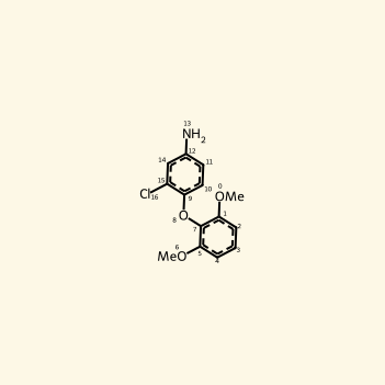 COc1cccc(OC)c1Oc1ccc(N)cc1Cl